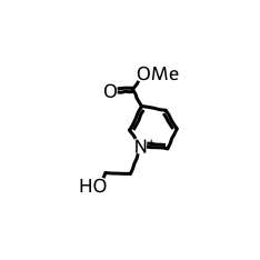 COC(=O)c1ccc[n+](CCO)c1